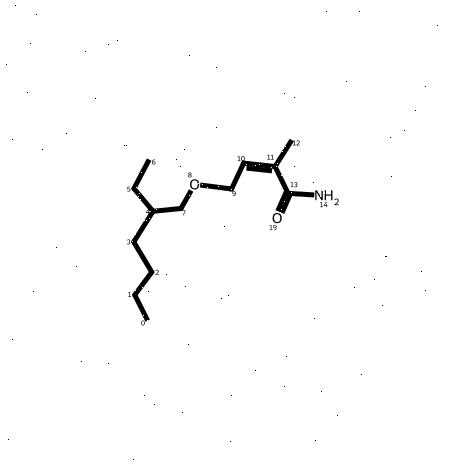 CCCCC(CC)COCC=C(C)C(N)=O